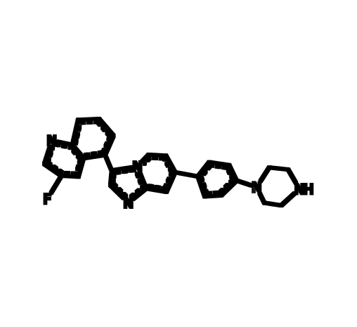 Fc1cnc2cccc(-c3cnc4cc(-c5ccc(N6CCNCC6)cc5)ccn34)c2c1